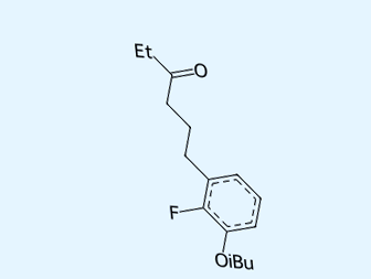 CCC(=O)CCCc1cccc(OCC(C)C)c1F